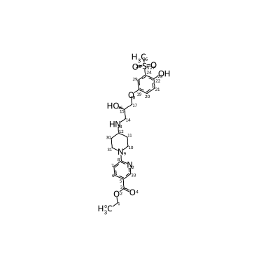 CCOC(=O)c1ccc(N2CCC(NCC(O)COc3ccc(O)c(S(C)(=O)=O)c3)CC2)nc1